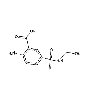 CCNS(=O)(=O)c1ccc(N)c(C(=O)O)c1